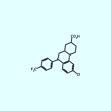 O=C(O)C1CCN2c3cc(Cl)ccc3N(c3ccc(C(F)(F)F)cc3)CC2C1